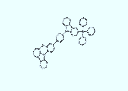 c1ccc([Si](c2ccccc2)(c2ccccc2)c2ccc3c(c2)c2ccccc2n3-c2ccc(-c3ccc4c(c3)Sc3cccc5c6ccccc6n-4c35)cc2)cc1